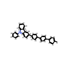 Cc1ccc(-c2ccc(-c3ccc(-c4ccc5c(c4)c4ccccc4n5-c4ccccc4)cc3)cc2)cc1